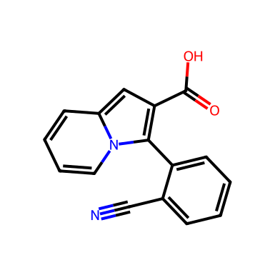 N#Cc1ccccc1-c1c(C(=O)O)cc2ccccn12